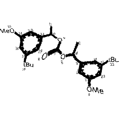 COc1cc(C(C)OC(=O)OC(C)c2cc(OC)cc(C(C)(C)C)c2)cc(C(C)(C)C)c1